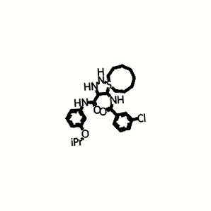 CC(C)Oc1cccc(NC(=O)C2NNS3(CCCCCCCC3)C2NC(=O)c2cccc(Cl)c2)c1